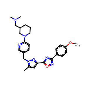 Cc1cc(-c2nc(-c3ccc(OC(F)(F)F)cc3)no2)nn1Cc1ccc(N2CCCC(CN(C)C)C2)nc1